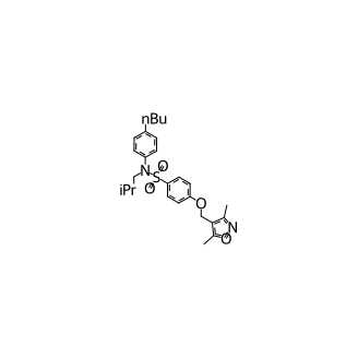 CCCCc1ccc(N(CC(C)C)S(=O)(=O)c2ccc(OCc3c(C)noc3C)cc2)cc1